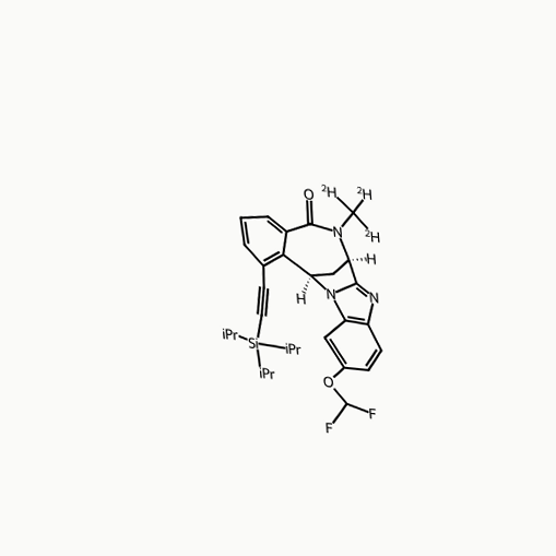 [2H]C([2H])([2H])N1C(=O)c2cccc(C#C[Si](C(C)C)(C(C)C)C(C)C)c2[C@H]2C[C@@H]1c1nc3ccc(OC(F)F)cc3n12